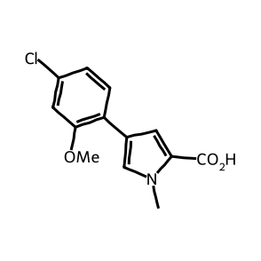 COc1cc(Cl)ccc1-c1cc(C(=O)O)n(C)c1